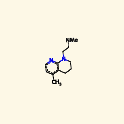 CNCCN1CCCc2c(C)ccnc21